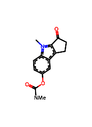 CNC(=O)Oc1ccc2c(c1)c1c(n2C)C(=O)CC1